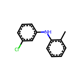 Cc1ccccc1Nc1cccc(Cl)c1